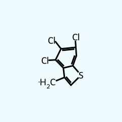 [CH2]c1csc2cc(Cl)c(Cl)c(Cl)c12